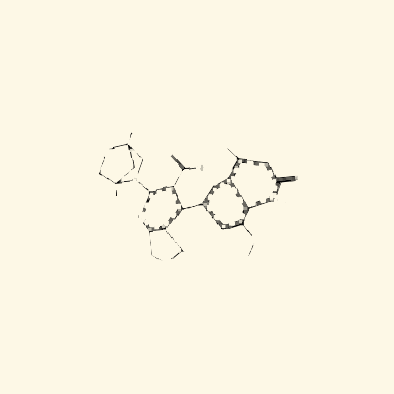 COc1cc(-c2c3c(nc(N4C[C@@H]5C[C@H]4CO5)c2C(N)=O)COC3)cc2c(C)cc(=O)[nH]c12